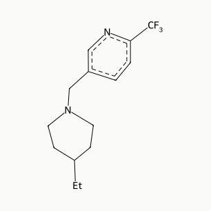 CCC1CCN(Cc2ccc(C(F)(F)F)nc2)CC1